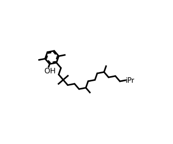 Cc1ccc(C)c(CCC(C)(C)CCCC(C)CCCC(C)CCCC(C)C)c1O